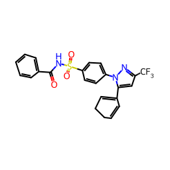 O=C(NS(=O)(=O)c1ccc(-n2nc(C(F)(F)F)cc2C2=CCCC=C2)cc1)c1ccccc1